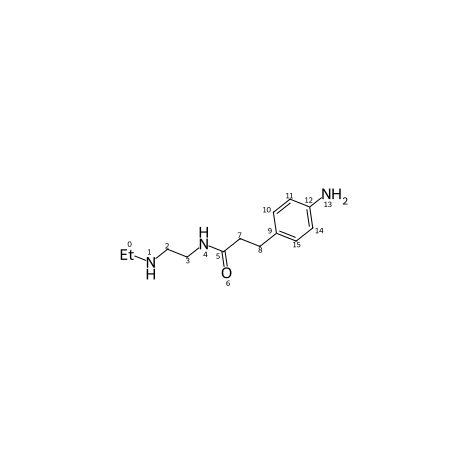 CCNCCNC(=O)CCc1ccc(N)cc1